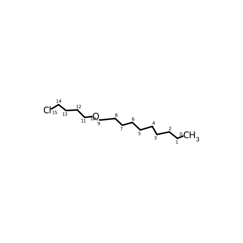 CCCCCCCCC[CH]OCCCCCl